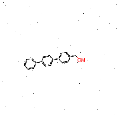 OCc1ccc(-c2ccc(-c3ccccc3)cc2)cc1